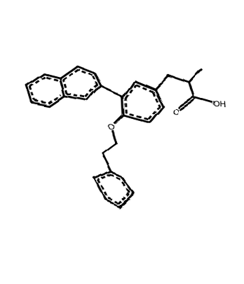 CC(Cc1ccc(OCCc2ccccc2)c(-c2ccc3ccccc3c2)c1)C(=O)O